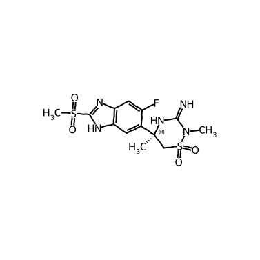 CN1C(=N)N[C@](C)(c2cc3[nH]c(S(C)(=O)=O)nc3cc2F)CS1(=O)=O